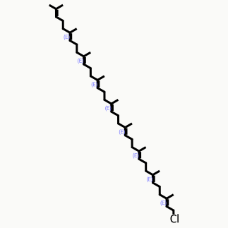 CC(C)=CCC/C(C)=C/CC/C(C)=C/CC/C(C)=C/CC/C(C)=C/CC/C(C)=C/CC/C(C)=C/CC/C(C)=C/CC/C(C)=C/CCl